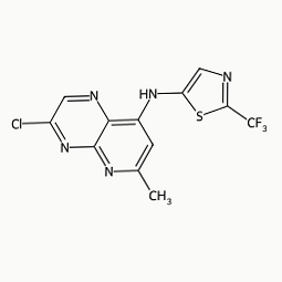 Cc1cc(Nc2cnc(C(F)(F)F)s2)c2ncc(Cl)nc2n1